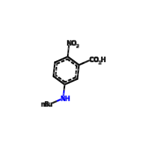 CCCCNc1ccc([N+](=O)[O-])c(C(=O)O)c1